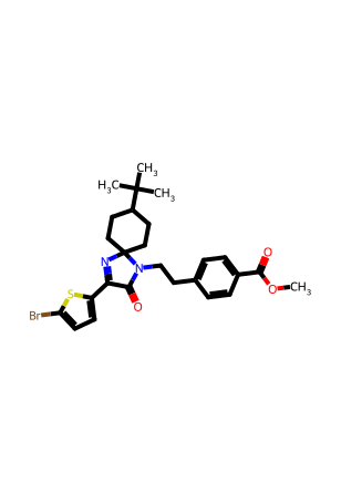 COC(=O)c1ccc(CCN2C(=O)C(c3ccc(Br)s3)=NC23CCC(C(C)(C)C)CC3)cc1